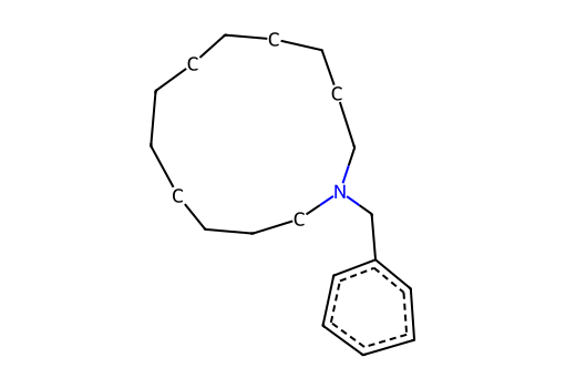 c1ccc(CN2CCCCCCCCCCCC2)cc1